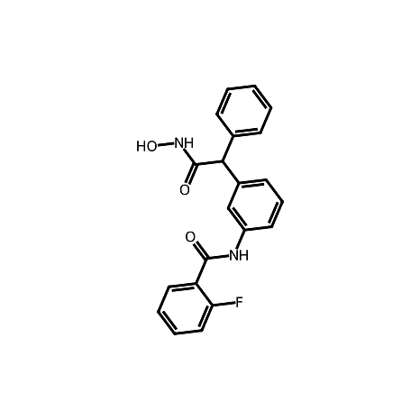 O=C(Nc1cccc(C(C(=O)NO)c2ccccc2)c1)c1ccccc1F